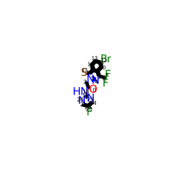 O=C(Cn1nc(C(F)F)c2cc(Br)ccc2c1=S)Nc1ncc(F)cn1